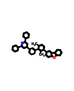 Cc1ccc(-c2ccc3oc4ccccc4c3c2)c(C)c1C1=CC(c2cc(-c3ccccc3)nc(-c3ccccc3)c2)=CCC1